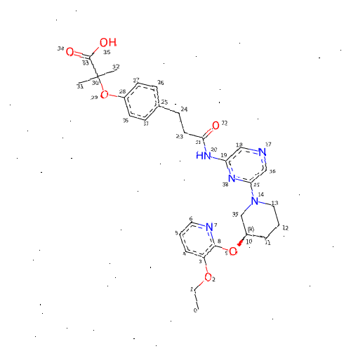 CCOc1cccnc1O[C@@H]1CCCN(c2cncc(NC(=O)CCc3ccc(OC(C)(C)C(=O)O)cc3)n2)C1